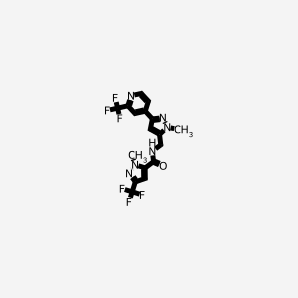 Cn1nc(-c2ccnc(C(F)(F)F)c2)cc1CNC(=O)c1cc(C(F)(F)F)nn1C